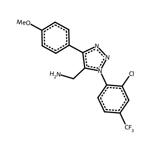 COc1ccc(-c2nnn(-c3ccc(C(F)(F)F)cc3Cl)c2CN)cc1